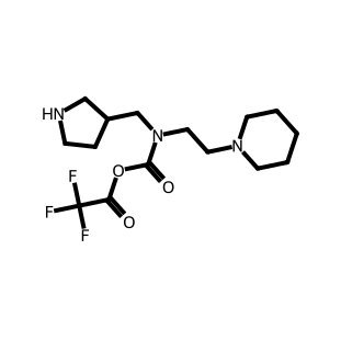 O=C(OC(=O)C(F)(F)F)N(CCN1CCCCC1)CC1CCNC1